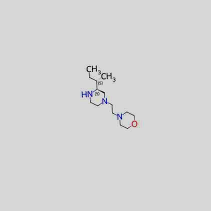 CC[C@H](C)[C@H]1CN(CCN2CCOCC2)CCN1